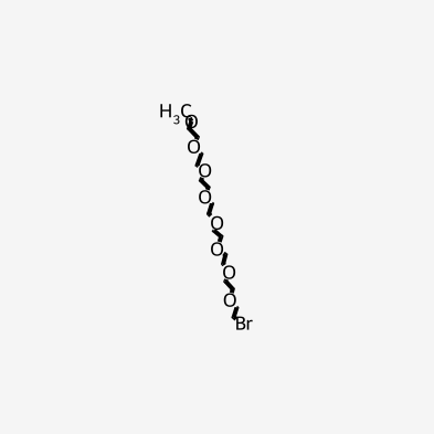 COCCOCCOCCOCCOCCOCCOCCOCCBr